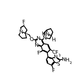 Nc1nc2c(-c3c(C(F)(F)F)cc4c(N5CC6CC[C@@H](C5)N6)nc(OC[C@@]56CCCN5C[C@H](F)C6)nc4c3F)ccc(F)c2s1